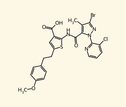 COc1ccc(CCc2cc(C(=O)O)c(NC(=O)c3c(C)c(Br)nn3-c3ncccc3Cl)s2)cc1